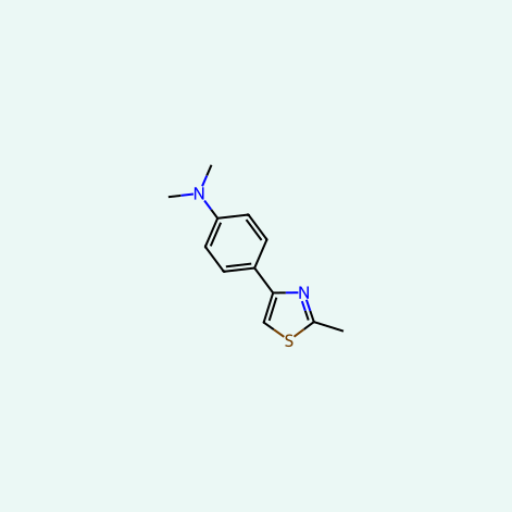 Cc1nc(-c2ccc(N(C)C)cc2)cs1